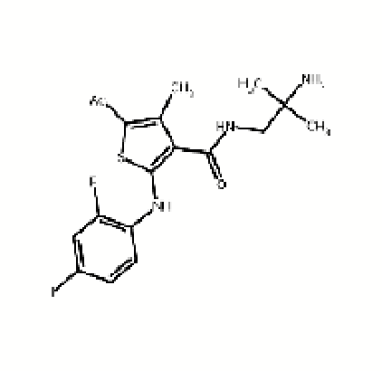 CC(=O)c1sc(Nc2ccc(I)cc2F)c(C(=O)NCC(C)(C)N)c1C